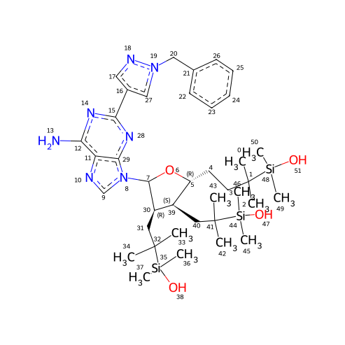 CC(C)(CC[C@H]1OC(n2cnc3c(N)nc(-c4cnn(Cc5ccccc5)c4)nc32)[C@H](CC(C)(C)[Si](C)(C)O)[C@@H]1CC(C)(C)[Si](C)(C)O)[Si](C)(C)O